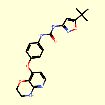 CC(C)(C)c1cc(NC(=O)Nc2ccc(Oc3ccnc4c3OCCN4)cc2)no1